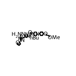 CCCCC(C(=O)N1CCN(c2ccc(OCCOC)cc2)CC1)n1cc2c(nc(N)n3nc(-c4ccco4)nc23)n1